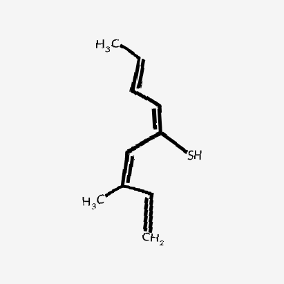 C=C/C(C)=C\C(S)=C/C=CC